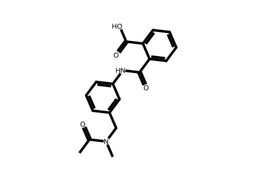 CC(=O)N(C)Cc1cccc(NC(=O)c2ccccc2C(=O)O)c1